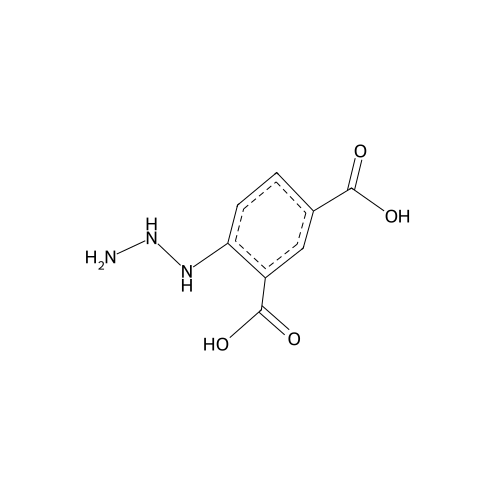 NNNc1ccc(C(=O)O)cc1C(=O)O